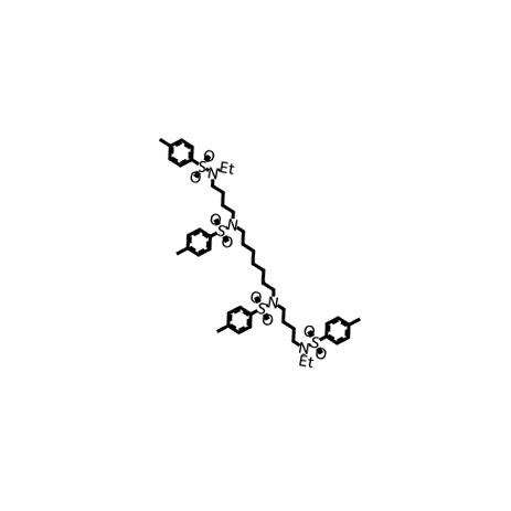 CCN(CCCCN(CCCCCCCN(CCCCN(CC)S(=O)(=O)c1ccc(C)cc1)S(=O)(=O)c1ccc(C)cc1)S(=O)(=O)c1ccc(C)cc1)S(=O)(=O)c1ccc(C)cc1